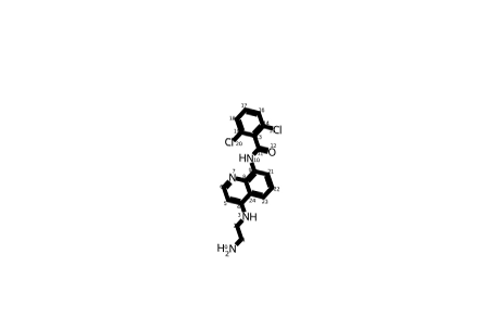 NCCNc1ccnc2c(NC(=O)c3c(Cl)cccc3Cl)cccc12